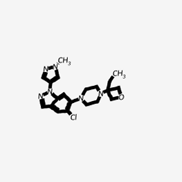 CCC1(N2CCN(c3cc4c(cnn4-c4cnn(C)c4)cc3Cl)CC2)COC1